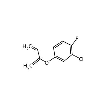 C=CC(=C)Oc1ccc(F)c(Cl)c1